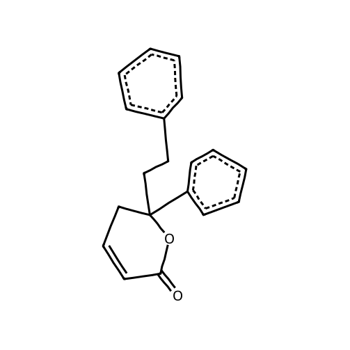 O=C1C=CCC(CCc2ccccc2)(c2ccccc2)O1